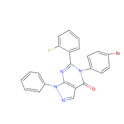 O=c1c2cnn(-c3ccccc3)c2nc(-c2ccccc2F)n1-c1ccc(Br)cc1